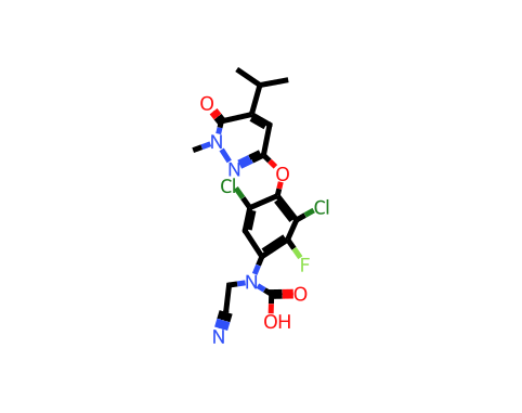 CC(C)c1cc(Oc2c(Cl)cc(N(CC#N)C(=O)O)c(F)c2Cl)nn(C)c1=O